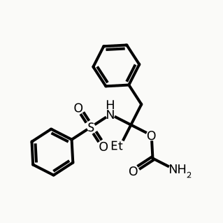 CCC(Cc1ccccc1)(NS(=O)(=O)c1ccccc1)OC(N)=O